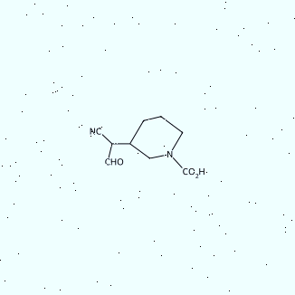 N#CC(C=O)C1CCCN(C(=O)O)C1